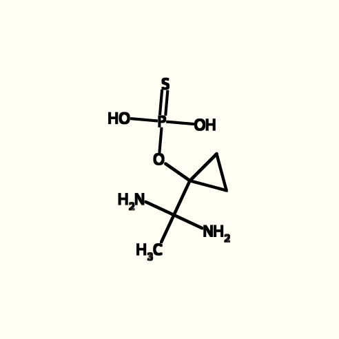 CC(N)(N)C1(OP(O)(O)=S)CC1